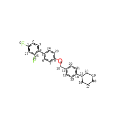 Fc1ccc(-c2c[c]c(OCc3ccc(C4CCCCC4)cc3)cc2)c(F)c1